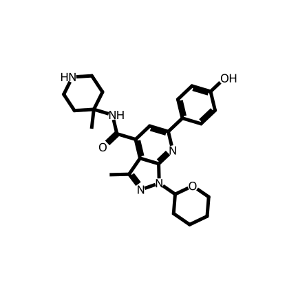 Cc1nn(C2CCCCO2)c2nc(-c3ccc(O)cc3)cc(C(=O)NC3(C)CCNCC3)c12